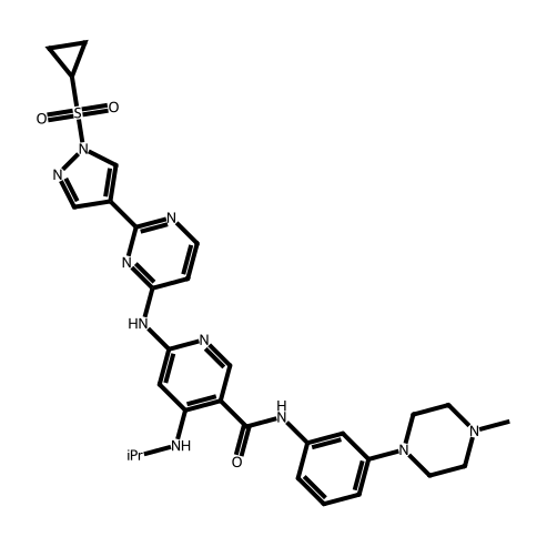 CC(C)Nc1cc(Nc2ccnc(-c3cnn(S(=O)(=O)C4CC4)c3)n2)ncc1C(=O)Nc1cccc(N2CCN(C)CC2)c1